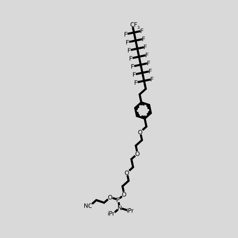 CC(C)N(C(C)C)P(OCCC#N)OCCOCCOCCOCc1ccc(CCC(F)(F)C(F)(F)C(F)(F)C(F)(F)C(F)(F)C(F)(F)C(F)(F)C(F)(F)F)cc1